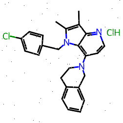 Cc1c(C)n(Cc2ccc(Cl)cc2)c2c(N3CCc4ccccc4C3)ccnc12.Cl